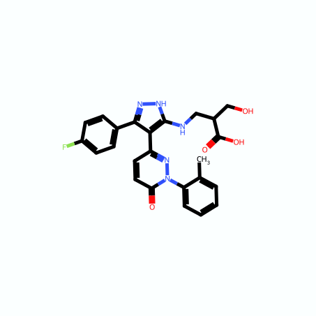 Cc1ccccc1-n1nc(-c2c(-c3ccc(F)cc3)n[nH]c2NCC(CO)C(=O)O)ccc1=O